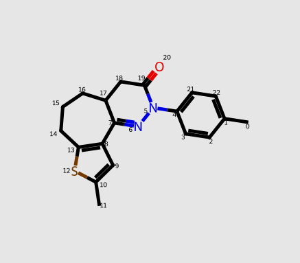 Cc1ccc(N2N=C3c4cc(C)sc4CCCC3CC2=O)cc1